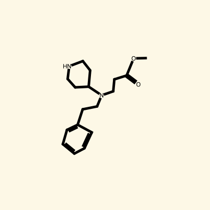 COC(=O)CCN(CCc1ccccc1)C1CCNCC1